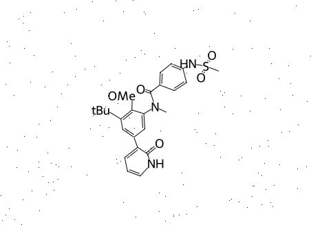 COc1c(N(C)C(=O)c2ccc(NS(C)(=O)=O)cc2)cc(-c2ccc[nH]c2=O)cc1C(C)(C)C